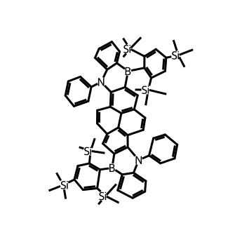 C[Si](C)(C)c1cc([Si](C)(C)C)c(B2c3ccccc3N(c3ccccc3)c3c2cc2ccc4c5c(cc6ccc3c2c64)B(c2c([Si](C)(C)C)cc([Si](C)(C)C)cc2[Si](C)(C)C)c2ccccc2N5c2ccccc2)c([Si](C)(C)C)c1